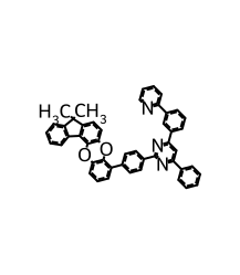 CC1(C)c2ccccc2-c2c1ccc1c2Oc2cccc(-c3ccc(-c4nc(-c5ccccc5)cc(-c5cccc(-c6ccccn6)c5)n4)cc3)c2O1